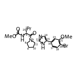 COC(=O)N[C@H](C(=O)N1CCC[C@H]1c1ncc(-c2ccc(Br)c(OC)c2)[nH]1)C(C)C